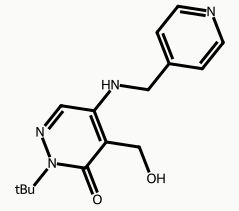 CC(C)(C)n1ncc(NCc2ccncc2)c(CO)c1=O